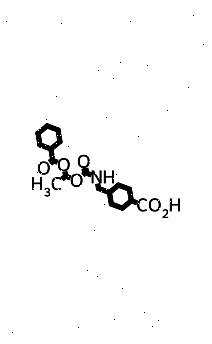 CC(OC(=O)NCC1CCC(C(=O)O)CC1)OC(=O)C1CCCCC1